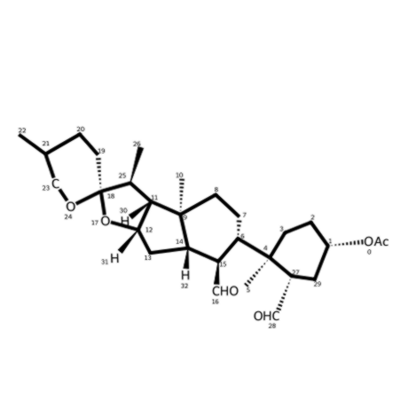 CC(=O)O[C@H]1CC[C@](C)([C@H]2CC[C@]3(C)[C@@H]4[C@H](C[C@H]3[C@@H]2C=O)O[C@]2(CCC(C)CO2)[C@H]4C)[C@@H](C=O)C1